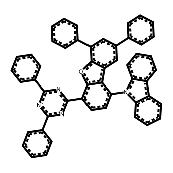 c1ccc(-c2cc(-c3ccccc3)c3oc4c(-c5nc(-c6ccccc6)nc(-c6ccccc6)n5)ccc(-n5c6ccccc6c6ccccc65)c4c3c2)cc1